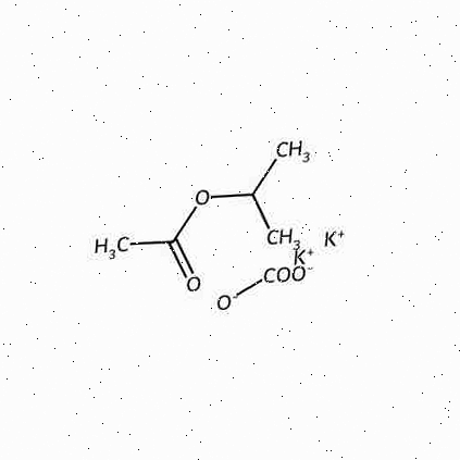 CC(=O)OC(C)C.O=C([O-])[O-].[K+].[K+]